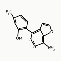 Nc1nnc(-c2ccc(C(F)(F)F)cc2O)c2ccoc12